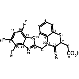 O=C(O)CC1Sc2ccccc2N(Cc2nc3c(F)c(F)cc(F)c3s2)C1=S